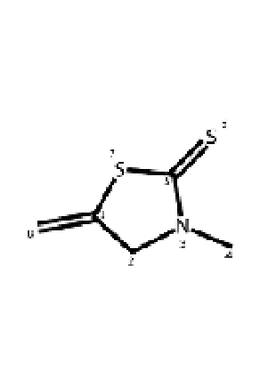 C=C1CN(C)C(=S)S1